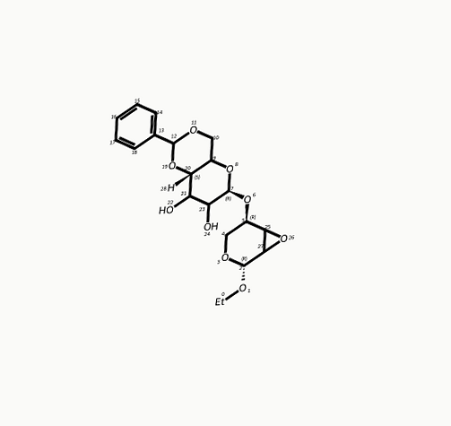 CCO[C@@H]1OC[C@@H](O[C@@H]2OC3COC(c4ccccc4)O[C@H]3C(O)C2O)C2OC21